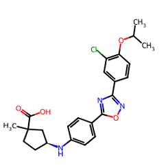 CC(C)Oc1ccc(-c2noc(-c3ccc(N[C@H]4CCC(C)(C(=O)O)C4)cc3)n2)cc1Cl